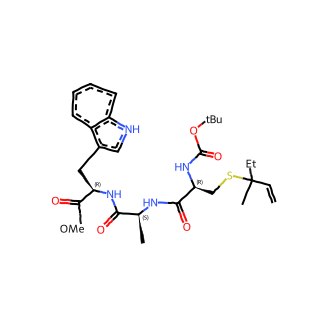 C=CC(C)(CC)SC[C@H](NC(=O)OC(C)(C)C)C(=O)N[C@@H](C)C(=O)N[C@H](Cc1c[nH]c2ccccc12)C(=O)OC